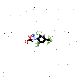 [O-]c1c[n+](-c2c(Cl)cc(C(F)(F)F)cc2Cl)no1